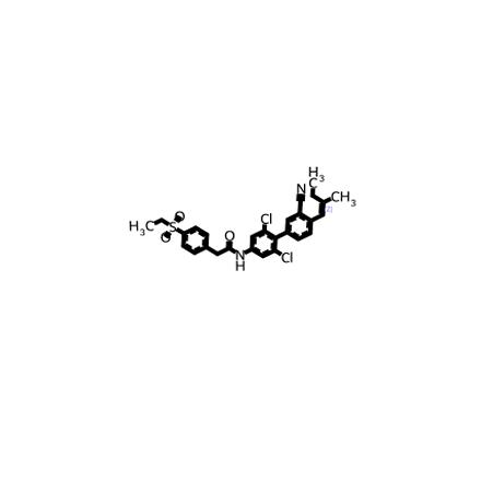 CC/C(C)=C\c1ccc(-c2c(Cl)cc(NC(=O)Cc3ccc(S(=O)(=O)CC)cc3)cc2Cl)cc1C#N